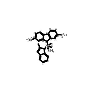 CC1=Cc2ccccc2[CH]1[Zr]([CH3])([CH3])(=[SiH2])[CH]1c2cc(C(C)(C)C)ccc2-c2ccc(C(C)(C)C)cc21